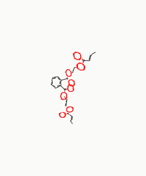 CC=CC(=O)OCCOC(=O)c1ccccc1C(=O)OCCOC(=O)C=CC